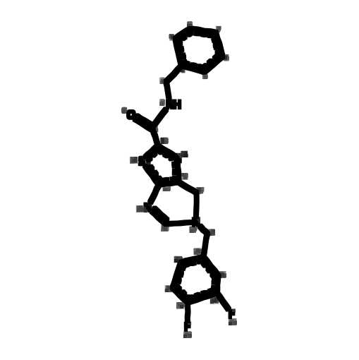 O=C(NCc1ccccc1)c1nc2c(s1)N=CN(Cc1ccc(F)c(F)c1)C2